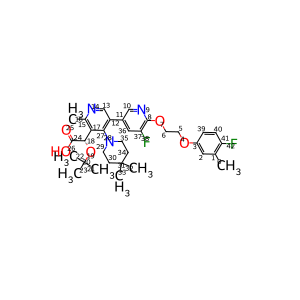 Cc1cc(OCCOc2ncc(-c3cnc(C)c([C@H](OC(C)(C)C)C(=O)O)c3N3CCC(C)(C)CC3)cc2F)ccc1F